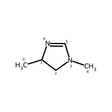 CC1CN(C)[C]=N1